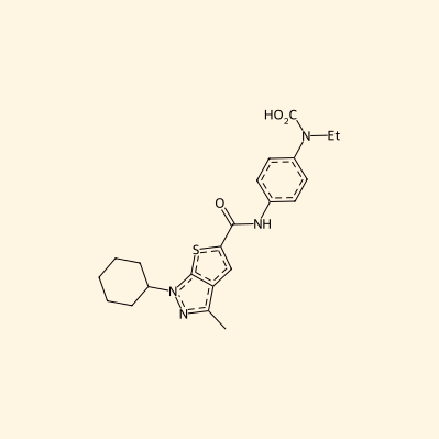 CCN(C(=O)O)c1ccc(NC(=O)c2cc3c(C)nn(C4CCCCC4)c3s2)cc1